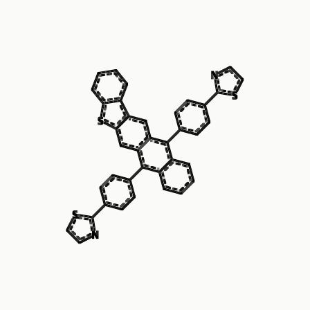 c1ccc2c(c1)sc1cc3c(-c4ccc(-c5nccs5)cc4)c4ccccc4c(-c4ccc(-c5nccs5)cc4)c3cc12